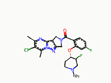 CCCN1CC[C@H](Oc2cc(F)ccc2C(=O)N2Cc3nn4c(C)c(Cl)c(C)nc4c3C2)C(F)C1